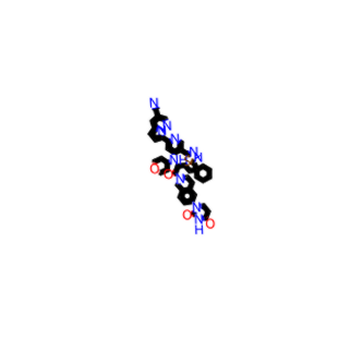 N#Cc1cnn2c(-c3cc(NC4CCOCC4)c(-c4nnc(C5(CCCC(=O)N6CCc7cc(N8CCC(=O)NC8=O)ccc7C6)CCCCC5)s4)cn3)ccc2c1